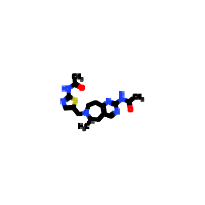 CC(=O)Nc1ncc2c(n1)CCN(Cc1cnc(NC(C)=O)s1)[C@H](C)C2